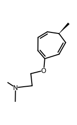 C[C@@H]1C=CC=C(OCCN(C)C)C=C1